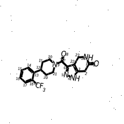 O=C1Cc2[nH]nc(C(=O)N3CCC(c4ccccc4C(F)(F)F)CC3)c2CN1